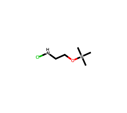 C[Si](C)(C)OC[CH2][AlH][Cl]